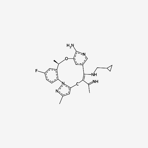 CC(=N)/C1=C(\NCC2CC2)c2cnc(N)c(c2)O[C@H](C)c2cc(F)ccc2-n2nc(C)cc2C1